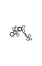 O=C(O)/C=C/COc1cc(N2C(=O)C3CCCCC3C2=O)c(F)cc1Cl